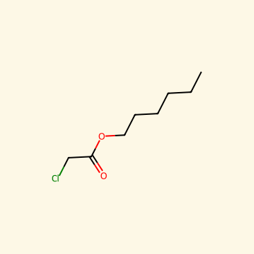 CCCCCCOC(=O)CCl